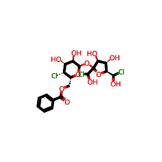 O=C(OC[C@H]1O[C@H](O[C@]2(C(O)Cl)O[C@H](C(O)Cl)[C@@H](O)[C@@H]2O)[C@H](O)[C@@H](O)[C@H]1Cl)c1ccccc1